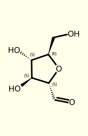 O=C[C@H]1O[C@H](CO)[C@@H](O)[C@@H]1O